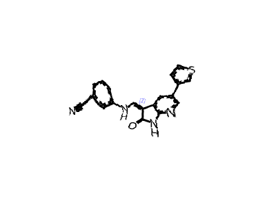 N#Cc1cccc(N/C=C2\C(=O)Nc3ncc(-c4ccsc4)cc32)c1